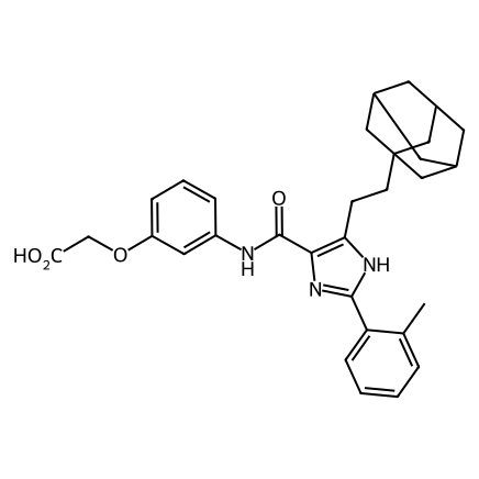 Cc1ccccc1-c1nc(C(=O)Nc2cccc(OCC(=O)O)c2)c(CCC23CC4CC(CC(C4)C2)C3)[nH]1